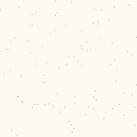 CCOc1ccc2c(Cc3cc(OC)c(OC)c(OC)c3)cncc2c1N(C)C.Cl.Cl